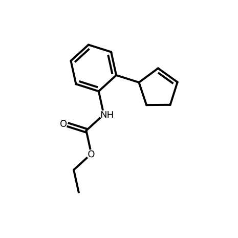 CCOC(=O)Nc1ccccc1C1C=CCC1